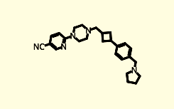 N#Cc1ccc(N2CCN(CC3CC(c4ccc(CN5CCCC5)cc4)C3)CC2)nc1